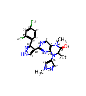 CCC1C(=O)N(C)c2cnc(-c3c[nH]nc3-c3ccc(F)cc3F)nc2N1c1cnn(C)c1